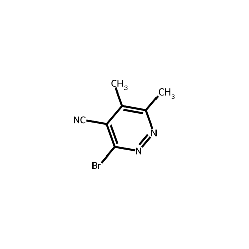 Cc1nnc(Br)c(C#N)c1C